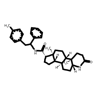 Cc1ccc(CC(NC(=O)[C@H]2CC[C@H]3[C@@H]4CC[C@H]5NC(=O)CC[C@]5(C)[C@H]4CC[C@]23C)c2ccccc2)cc1